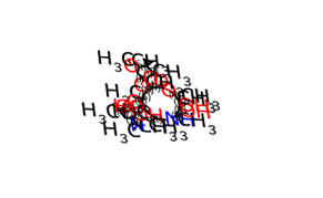 CC[C@H]1OC(=O)[C@H](C)[C@@H](O[C@H]2C[C@@](C)(OC)C3(CC3)[C@H](C)O2)[C@H](C)[C@@H](O[C@@H]2O[C@H](C)C[C@H](N(C)C)[C@H]2O)[C@](C)(O)C[C@@H](C)CN[C@H](C)[C@@H](O)[C@]1(C)O